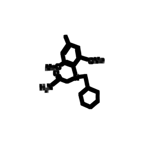 COc1cc(C)cc(OC)c1N(CC(N)=O)CC1CCCCC1